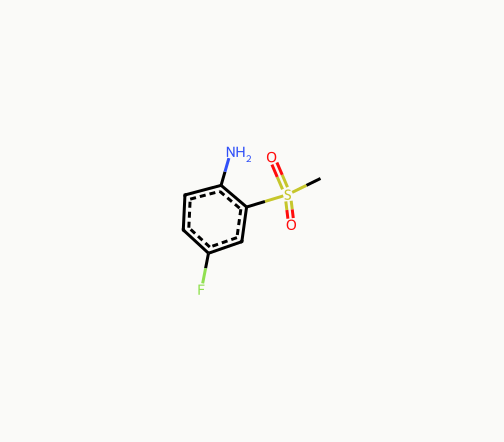 CS(=O)(=O)c1cc(F)ccc1N